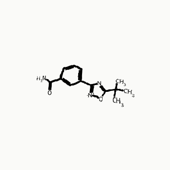 CC(C)(C)C1=NC(c2cccc(C(N)=O)c2)=[N+]O1